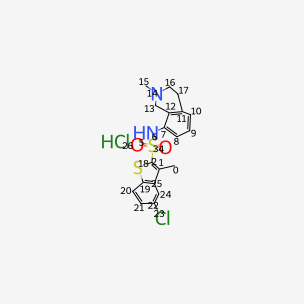 Cc1c(S(=O)(=O)Nc2cccc3c2CN(C)CC3)sc2ccc(Cl)cc12.Cl